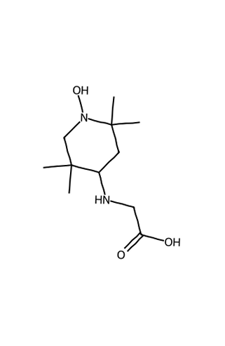 CC1(C)CN(O)C(C)(C)CC1NCC(=O)O